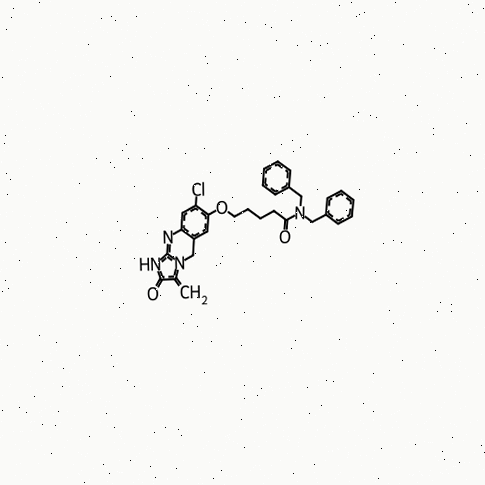 C=c1c(=O)[nH]c2n1Cc1cc(OCCCCC(=O)N(Cc3ccccc3)Cc3ccccc3)c(Cl)cc1N=2